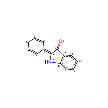 O=C1C(=C2C=CCC=C2)Nc2ccccc21